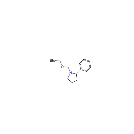 CC(C)(C)COCN1CCCC1c1ccccc1